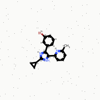 Cc1cccc(-c2[nH]c(C3CC3)nc2-c2cccc(Br)c2)n1